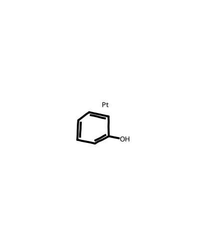 Oc1ccccc1.[Pt]